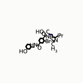 Cc1nc(C(C)C)c(/C=C(\NC(=O)c2ccc(C(=O)NCc3cccc(O)c3)cc2Br)C(=O)O)s1